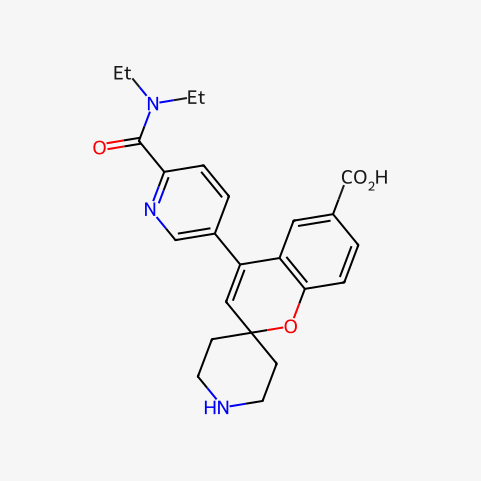 CCN(CC)C(=O)c1ccc(C2=CC3(CCNCC3)Oc3ccc(C(=O)O)cc32)cn1